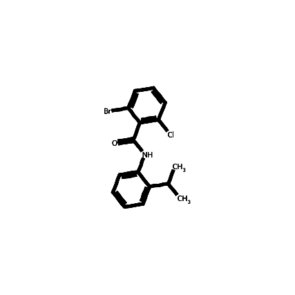 CC(C)c1ccccc1NC(=O)c1c(Cl)cccc1Br